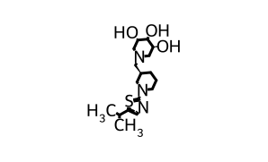 CC(C)c1cnc(N2CCC[C@H](CN3C[C@@H](O)C(O)[C@@H](O)C3)C2)s1